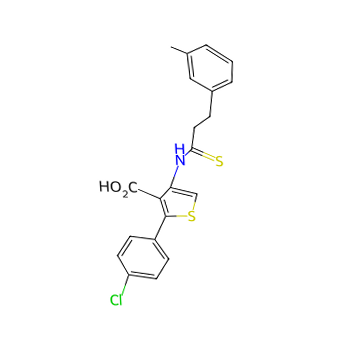 Cc1cccc(CCC(=S)Nc2csc(-c3ccc(Cl)cc3)c2C(=O)O)c1